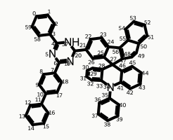 c1ccc(C2=NC(c3ccc(-c4ccccc4)cc3)=NC(c3ccc4c(c3)C3(c5ccccc5N(c5ccccc5)c5ccccc53)c3ccc5ccccc5c3-4)N2)cc1